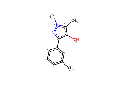 Cc1cccc(-c2nn(C)c(C)c2O)c1